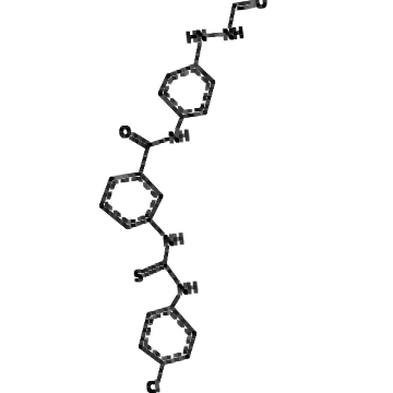 O=CNNc1ccc(NC(=O)c2cccc(NC(=S)Nc3ccc(Cl)cc3)c2)cc1